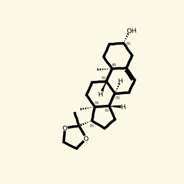 CC1([C@H]2CC[C@H]3[C@@H]4CC=C5C[C@@H](O)CC[C@]5(C)[C@H]4CC[C@]23C)OCCO1